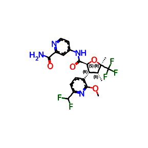 COc1nc(C(F)F)ccc1[C@@H]1[C@@H](C(=O)Nc2ccnc(C(N)=O)c2)O[C@@](C)(C(F)(F)F)[C@@H]1C